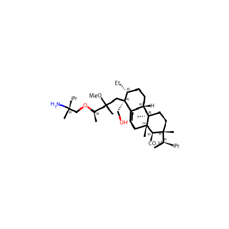 CC[C@@H]1CC[C@H]2C(=CC[C@@]3(C)[C@H](C(=O)O)[C@@](C)([C@H](C)C(C)C)CC[C@]23C)[C@@]1(CO)CC(C)(OC)[C@@H](C)OC[C@](C)(N)C(C)C